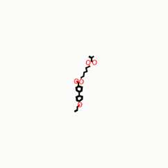 C=CCOc1ccc(-c2ccc(C(=O)OCCCCCCOC(=O)C(=C)C)cc2)cc1